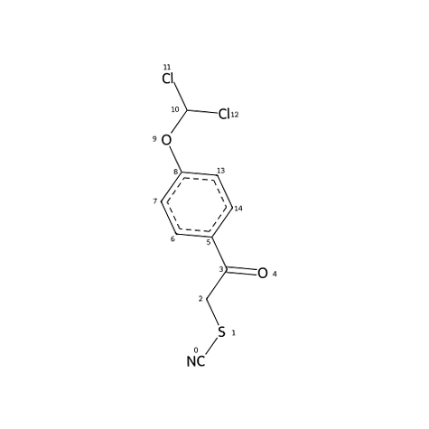 N#CSCC(=O)c1ccc(OC(Cl)Cl)cc1